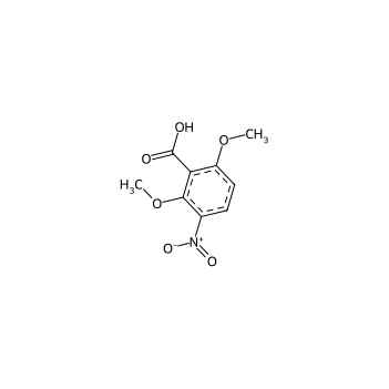 COc1ccc([N+](=O)[O-])c(OC)c1C(=O)O